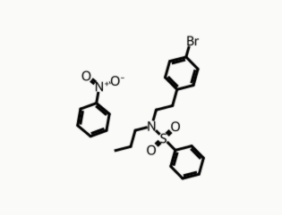 CCCN(CCc1ccc(Br)cc1)S(=O)(=O)c1ccccc1.O=[N+]([O-])c1ccccc1